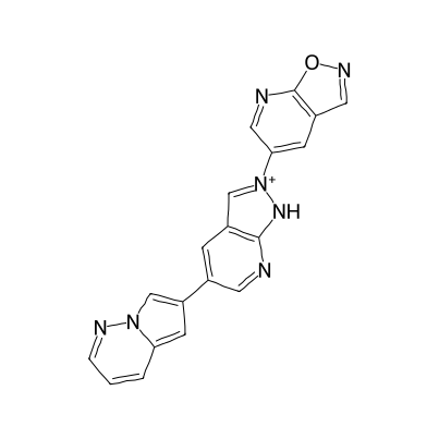 c1cnn2cc(-c3cnc4[nH][n+](-c5cnc6oncc6c5)cc4c3)cc2c1